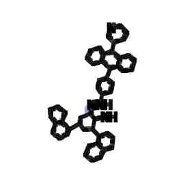 N=C1C(c2cccc3ccccc23)=CC(c2cccc3ccccc23)=C/C1=N/Nc1ccc(-c2c3ccccc3c(-c3cccnc3)c3ccccc23)cc1